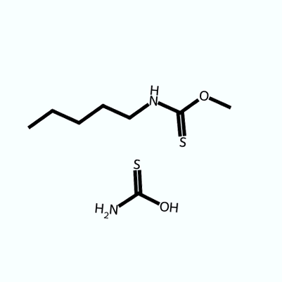 CCCCCNC(=S)OC.NC(O)=S